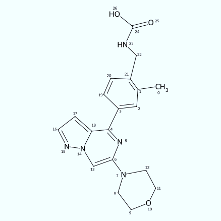 Cc1cc(-c2nc(N3CCOCC3)cn3nccc23)ccc1CNC(=O)O